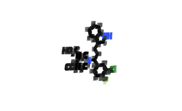 CN(C)C(CCc1c[nH]c2ccccc12)c1ccc(F)c(Cl)c1.O=C(O)/C=C/C(=O)O